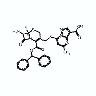 Cc1cc(SCC2=C(C(=O)OC(c3ccccc3)c3ccccc3)N3C(=O)C(N)[C@@H]3SC2)n2ncc(C(=O)O)c2n1